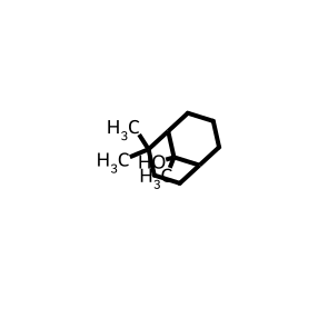 CC1(C)CCC2CCCC1C2(C)O